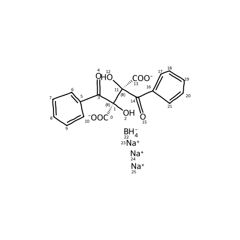 O=C([O-])[C@](O)(C(=O)c1ccccc1)[C@](O)(C(=O)[O-])C(=O)c1ccccc1.[BH4-].[Na+].[Na+].[Na+]